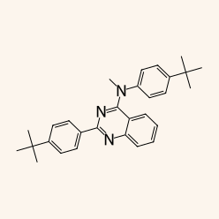 CN(c1ccc(C(C)(C)C)cc1)c1nc(-c2ccc(C(C)(C)C)cc2)nc2ccccc12